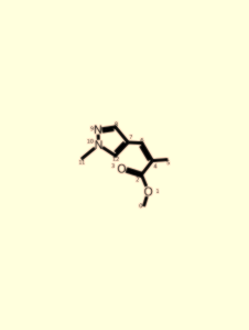 COC(=O)C(C)=Cc1cnn(C)c1